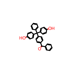 O=C(c1ccccc1)c1ccc(C(c2ccccc2)(c2ccc(O)cc2)c2ccc(O)cc2)cc1